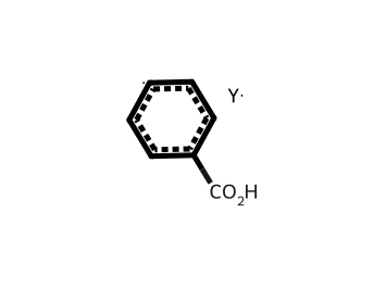 O=C(O)c1cc[c]cc1.[Y]